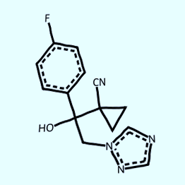 N#CC1(C(O)(Cn2cncn2)c2ccc(F)cc2)CC1